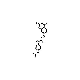 Cc1cc(=O)oc2cc(OCC(=O)Nc3ccc(OC(C)C)cc3)ccc12